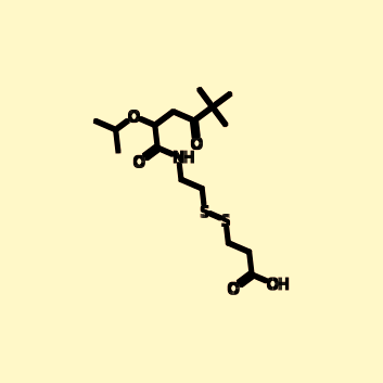 CC(C)OC(CC(=O)C(C)(C)C)C(=O)NCCSSCCC(=O)O